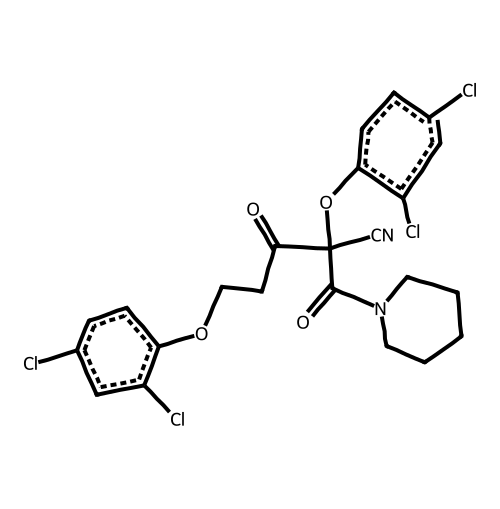 N#CC(Oc1ccc(Cl)cc1Cl)(C(=O)CCOc1ccc(Cl)cc1Cl)C(=O)N1CCCCC1